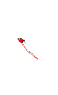 COCCOCCOCCOCCOCCOCCOCCOCCOCCOCCOCCOCCOCCOCCOCCOCCOCCOCCOCCOCCOCCOCCNC(=O)CCC(=O)OC[C@H](NC(=O)[C@@H]1C[C@@H](O[Si](C)(C)C(C)(C)C)CN1C(=O)[C@@H](NC(=O)OC(C)(C)C)C(C)(C)C)c1ccc(-c2scnc2C)cc1